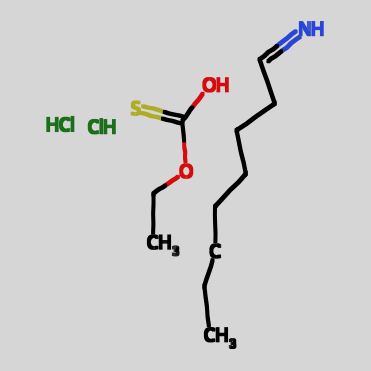 CCCCCCCC=N.CCOC(O)=S.Cl.Cl